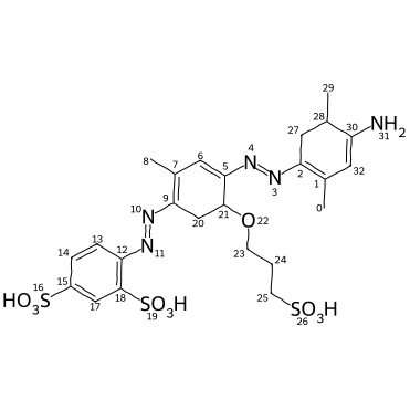 CC1=C(N=NC2=CC(C)=C(N=Nc3ccc(S(=O)(=O)O)cc3S(=O)(=O)O)CC2OCCCS(=O)(=O)O)CC(C)C(N)=C1